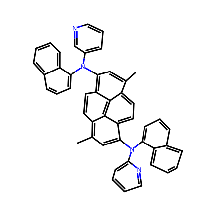 Cc1cc(N(c2cccnc2)c2cccc3ccccc23)c2ccc3c(C)cc(N(c4ccccn4)c4cccc5ccccc45)c4ccc1c2c34